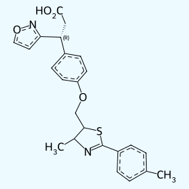 Cc1ccc(C2=NC(C)C(COc3ccc([C@@H](CC(=O)O)c4ccon4)cc3)S2)cc1